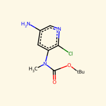 CN(C(=O)OC(C)(C)C)c1cc(N)cnc1Cl